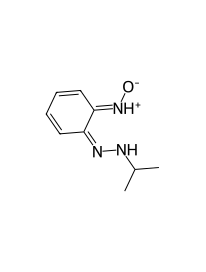 CC(C)N/N=C1/C=CC=C/C1=[NH+]\[O-]